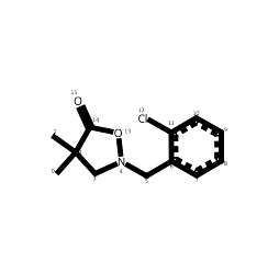 CC1(C)CN(Cc2ccccc2Cl)OC1=O